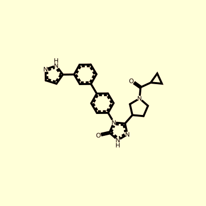 O=C(C1CC1)N1CCC(c2n[nH]c(=O)n2-c2ccc(-c3cccc(-c4ccn[nH]4)c3)cc2)C1